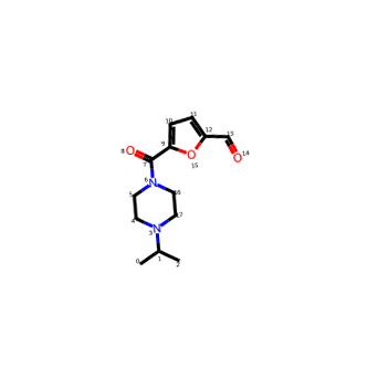 CC(C)N1CCN(C(=O)c2ccc(C=O)o2)CC1